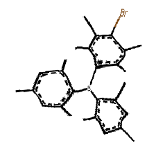 Cc1cc(C)c(B(c2c(C)cc(C)cc2C)c2c(C)c(C)c(Br)c(C)c2C)c(C)c1